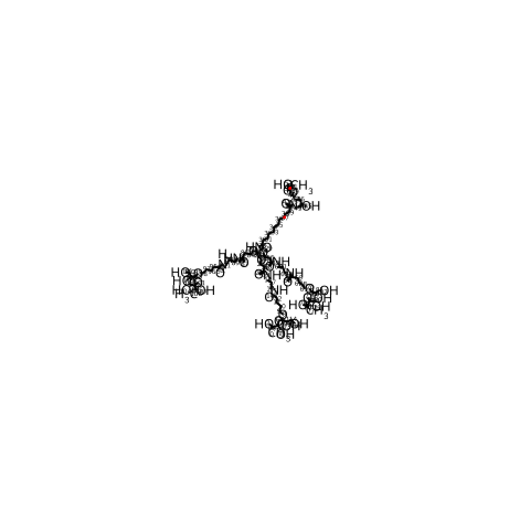 C[C@@H](O)C(CO)OC(OCCCCC(=O)NCCCNC(=O)CCOCC(NC(=O)CCCCCCCCCCC(=O)N1C[C@H](O)C[C@H]1COP(C)(=O)O)(OCCC(=O)NCCCNC(=O)CCCCOC(OC(CO)[C@@H](C)O)[C@@H](O)CO)OCCC(=O)NCCCNC(=O)CCCCOC(OC(CO)[C@@H](C)O)[C@@H](O)CO)[C@@H](O)CO